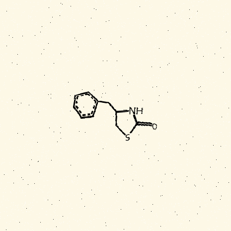 O=C1NC(Cc2ccccc2)CS1